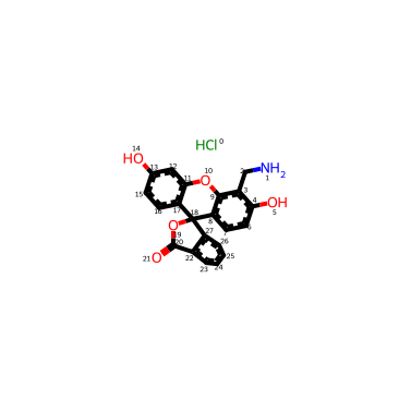 Cl.NCc1c(O)ccc2c1Oc1cc(O)ccc1C21OC(=O)c2ccccc21